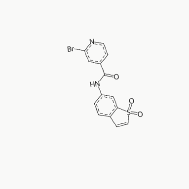 O=C(Nc1ccc2c(c1)S(=O)(=O)C=C2)c1ccnc(Br)c1